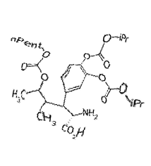 CCCCCOC(=O)OC(C)C(C)C(c1ccc(OC(=O)OC(C)C)c(OC(=O)OC(C)C)c1)[C@H](N)C(=O)O